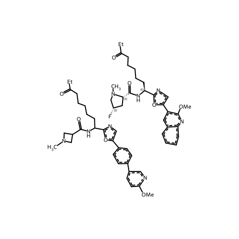 CCC(=O)CCCCCC(NC(=O)C1CN(C)C1)c1ncc(-c2ccc(-c3ccc(OC)nc3)cc2)o1.CCC(=O)CCCCC[C@H](NC(=O)[C@@H]1C[C@H](F)CN1C)c1ncc(-c2cc3ccccc3nc2OC)o1